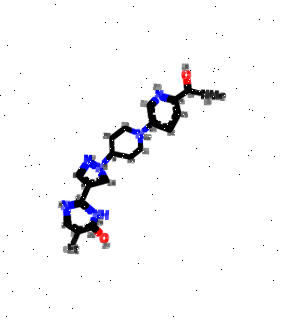 CCc1cnc(-c2cnn(C3CCN(c4ccc(C(=O)NC)nc4)CC3)c2)[nH]c1=O